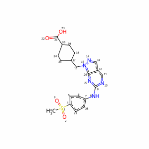 CS(=O)(=O)c1ccc(Nc2ncc3cnn(CC4CCC(C(=O)O)CC4)c3n2)cc1